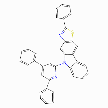 c1ccc(-c2cc(-c3ccccc3)nc(-n3c4ccccc4c4cc5sc(-c6ccccc6)nc5cc43)c2)cc1